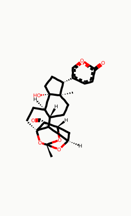 C[C@@]12O[C@H]3C[C@@H](O1)[C@]1(C=O)[C@H]4CC[C@]5(C)[C@@H](c6ccc(=O)oc6)CC[C@]5(O)[C@@H]4CC[C@@]1(C3)O2